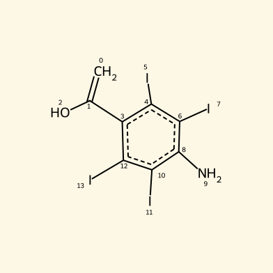 C=C(O)c1c(I)c(I)c(N)c(I)c1I